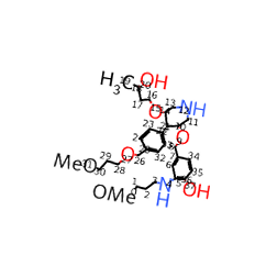 COCCCNc1cc(CO[C@H]2CNC[C@@H](OCCC(C)O)[C@@H]2c2ccc(COCCCOC)cc2)ccc1O